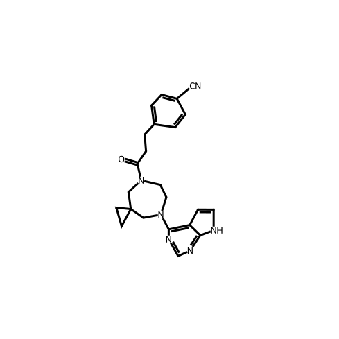 N#Cc1ccc(CCC(=O)N2CCN(c3ncnc4[nH]ccc34)CC3(CC3)C2)cc1